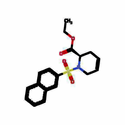 CCOC(=O)[C@H]1CC=CCN1S(=O)(=O)c1ccc2ccccc2c1